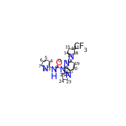 O=C(Nc1ccccn1)N1c2nc(N3CCC(C(F)(F)F)C3)ccc2N2CCC1C2